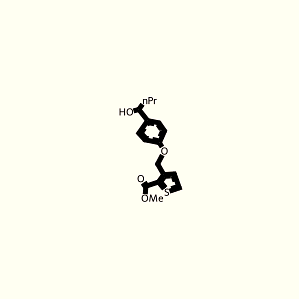 CCCC(O)c1ccc(OCc2ccsc2C(=O)OC)cc1